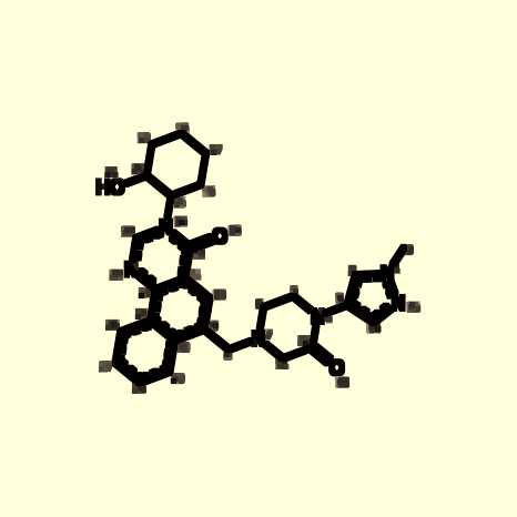 Cn1cc(N2CCN(Cc3cc4c(=O)n(C5CCCCC5O)cnc4c4ccccc34)CC2=O)cn1